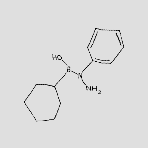 NN(B(O)C1CCCCC1)c1ccccc1